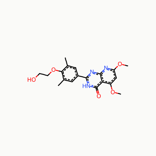 COc1cc(OC)c2c(=O)[nH]c(-c3cc(C)c(OCCO)c(C)c3)nc2n1